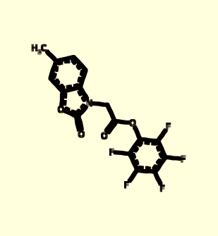 Cc1ccc2c(c1)oc(=O)n2CC(=O)Oc1c(F)c(F)c(F)c(F)c1F